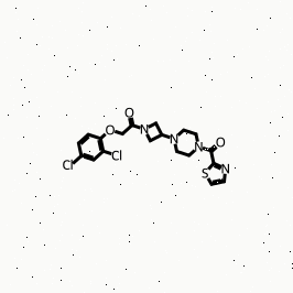 O=C(COc1ccc(Cl)cc1Cl)N1CC(N2CCN(C(=O)c3nccs3)CC2)C1